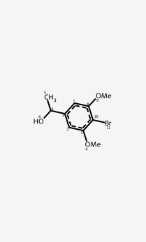 COc1cc(C(C)O)cc(OC)c1Br